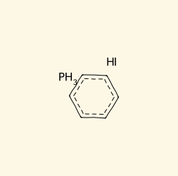 I.P.c1ccccc1